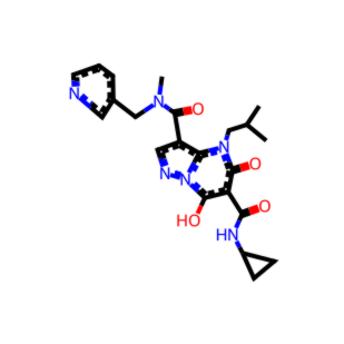 CC(C)Cn1c(=O)c(C(=O)NC2CC2)c(O)n2ncc(C(=O)N(C)Cc3cccnc3)c12